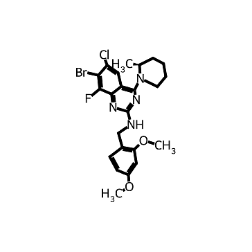 COc1ccc(CNc2nc(N3CCCC[C@@H]3C)c3cc(Cl)c(Br)c(F)c3n2)c(OC)c1